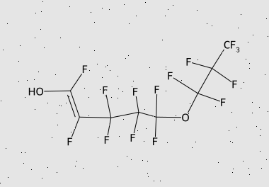 OC(F)=C(F)C(F)(F)C(F)(F)C(F)(F)OC(F)(F)C(F)(F)C(F)(F)F